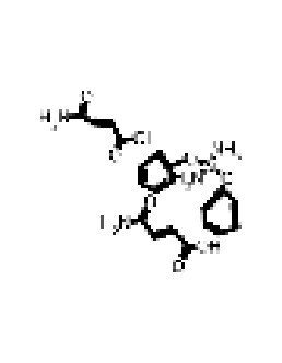 NC(=O)C=CC(=O)O.NC(=O)C=CC(=O)O.N[Si](N)(Oc1ccccc1)Oc1ccccc1